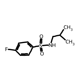 CC(C)CNS(=O)(=O)c1ccc(F)cc1